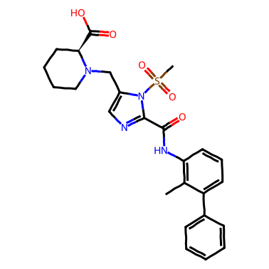 Cc1c(NC(=O)c2ncc(CN3CCCC[C@H]3C(=O)O)n2S(C)(=O)=O)cccc1-c1ccccc1